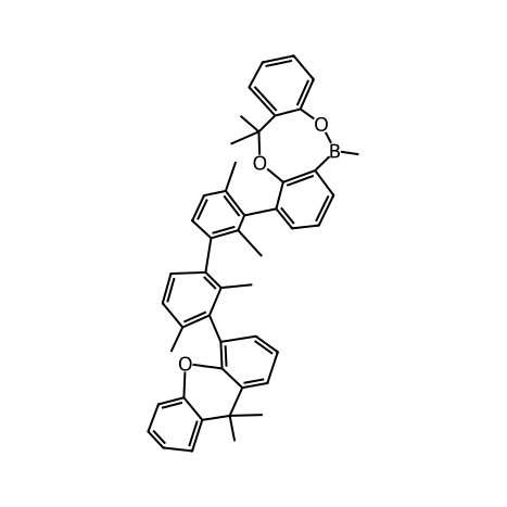 CB1Oc2ccccc2C(C)(C)Oc2c1cccc2-c1c(C)ccc(-c2ccc(C)c(-c3cccc4c3Oc3ccccc3C4(C)C)c2C)c1C